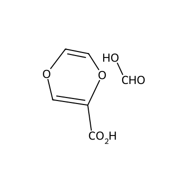 O=C(O)C1=COC=CO1.O=CO